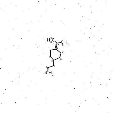 C=CCC1CCC(=C(C)C)CC1